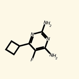 Nc1nc(N)c(F)c(C2CCC2)n1